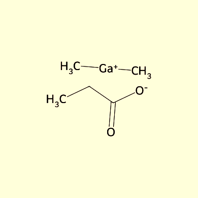 CCC(=O)[O-].[CH3][Ga+][CH3]